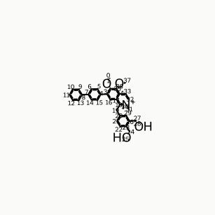 COc1c(-c2ccc(-c3ccccc3)cc2)cc2c(Cc3ccc(CO)c(CO)c3)[n+](C)ccc2c1OC